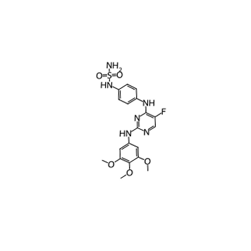 COc1cc(Nc2ncc(F)c(Nc3ccc(NS(N)(=O)=O)cc3)n2)cc(OC)c1OC